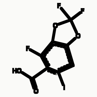 O=C(O)c1c(I)cc2c(c1F)OC(F)(F)O2